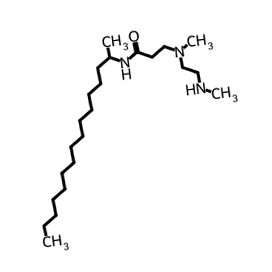 CCCCCCCCCCCCCCC(C)NC(=O)CCN(C)CCNC